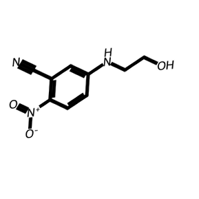 N#Cc1cc(NCCO)ccc1[N+](=O)[O-]